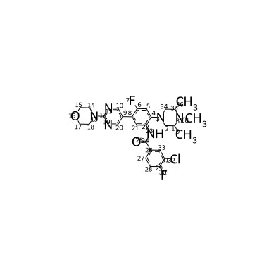 CC1CN(c2cc(F)c(-c3cnc(N4CCOCC4)nc3)cc2NC(=O)c2ccc(F)c(Cl)c2)CC(C)N1C